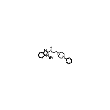 CC(C)n1c(NCCN2CCN(c3ccccc3)CC2)nc2ccccc21